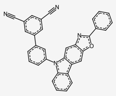 N#Cc1cc(C#N)cc(-c2cccc(-n3c4ccccc4c4cc5oc(-c6ccccc6)nc5cc43)c2)c1